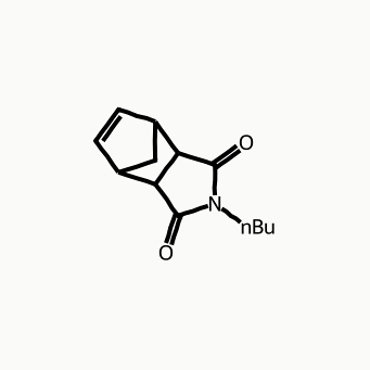 CCCCN1C(=O)C2C3C=CC(C3)C2C1=O